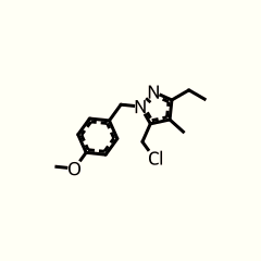 CCc1nn(Cc2ccc(OC)cc2)c(CCl)c1C